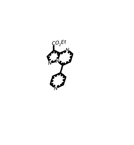 CCOC(=O)c1cnn2c(-c3ccncc3)ccnc12